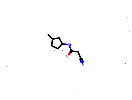 CC1CCC(NC(=O)CC#N)C1